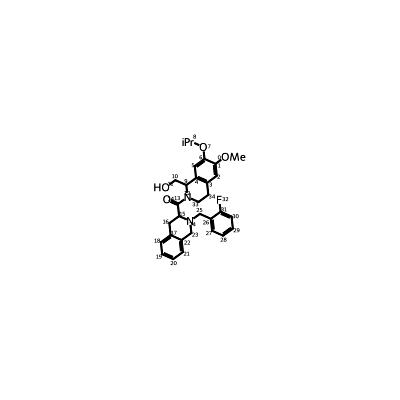 COc1cc2c(cc1OC(C)C)C(CO)N(C(=O)C1Cc3ccccc3CN1Cc1ccccc1F)CC2